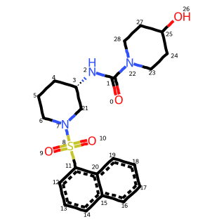 O=C(N[C@H]1CCCN(S(=O)(=O)c2cccc3ccccc23)C1)N1CCC(O)CC1